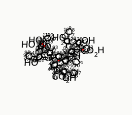 Cc1cc(O)c(C2CCCCC2)cc1C(c1cc(C2CCCCC2)c(O)cc1C)c1cc(C(C)(C)c2ccc(C(C)(c3cc(C)c(OCC(=O)O)c(C(c4cc(C5CCCCC5)c(O)cc4C)c4cc(C5CCCCC5)c(O)cc4C)c3)c3cc(C)c(OCC(=O)O)c(C(c4cc(C5CCCCC5)c(O)cc4C)c4cc(C5CCCCC5)c(O)cc4C)c3)cc2)cc(C)c1OCC(=O)O